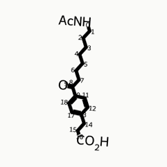 CC(=O)NCCCCCCCC(=O)c1ccc(CCC(=O)O)cc1